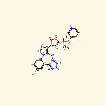 CC(C)(Oc1cccnc1)c1nc(-c2ncn3c2Cn2ncnc2-c2cc(F)ccc2-3)no1